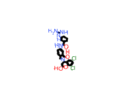 N=C(N)Nc1cccc(C(=O)Nc2ccc3cn(C(CC(=O)O)c4cc(Cl)cc(Cl)c4)c(O)c3c2)c1